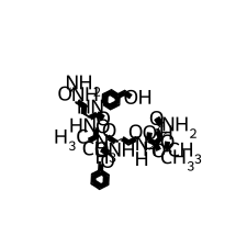 CC(C)[C@H](NC(=O)[C@H](CCC(=O)NC1O[C@H](C(N)=O)[C@H]2OC(C)(C)O[C@@H]12)NC(=O)OCc1ccccc1)C(=O)N[C@@H](CCCNC(N)=O)C(=O)Nc1ccc(CO)cc1